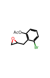 CC(=O)Oc1cccc(Br)c1CC1CO1